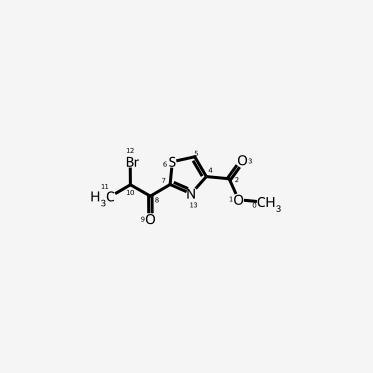 COC(=O)c1csc(C(=O)C(C)Br)n1